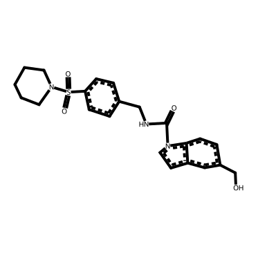 O=C(NCc1ccc(S(=O)(=O)N2CCCCC2)cc1)n1ccc2cc(CO)ccc21